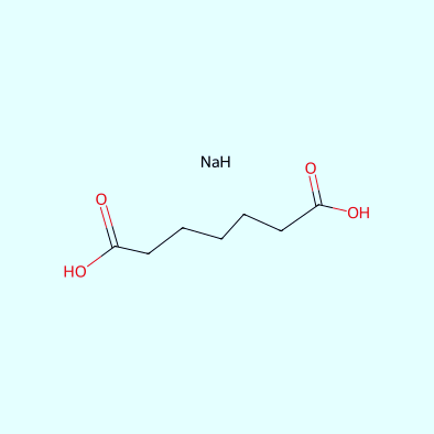 O=C(O)CCCCCC(=O)O.[NaH]